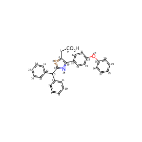 O=C(O)Cc1sc(C(c2ccccc2)c2ccccc2)nc1-c1ccc(Oc2ccccc2)cc1